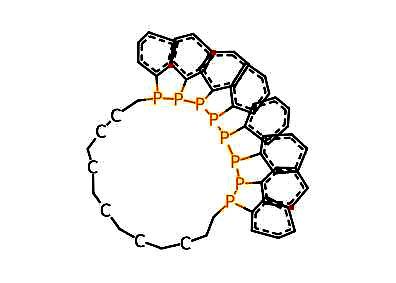 c1ccc(P2CCCCCCCCCCCCCP(c3ccccc3)P(c3ccccc3)P(c3ccccc3)P(c3ccccc3)P(c3ccccc3)P(c3ccccc3)P2c2ccccc2)cc1